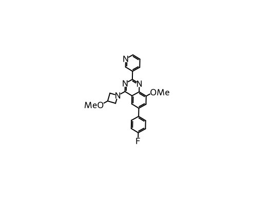 COc1cc(-c2ccc(F)cc2)cc2c(N3CC(OC)C3)nc(-c3cccnc3)nc12